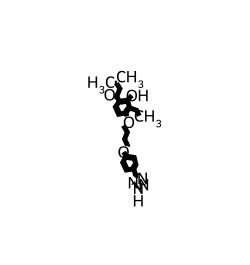 CCc1c(OCCCCOc2ccc(-c3nn[nH]n3)cc2)ccc(C(=O)CC(C)C)c1O